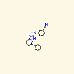 N#Cc1cccc(Nc2nc3cccc(-c4ccccc4)n3n2)c1